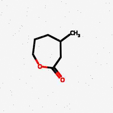 CC1CCCOC(=O)C1